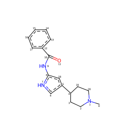 CN1CCC(c2c[nH]c(NC(=O)c3ccccc3)c2)CC1